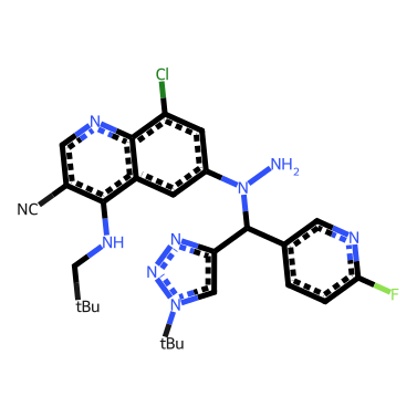 CC(C)(C)CNc1c(C#N)cnc2c(Cl)cc(N(N)C(c3ccc(F)nc3)c3cn(C(C)(C)C)nn3)cc12